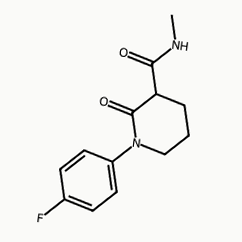 CNC(=O)C1CCCN(c2ccc(F)cc2)C1=O